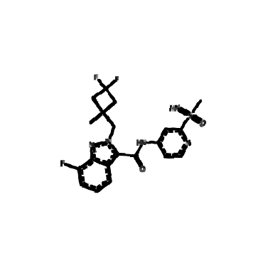 CC1(Cn2nc3c(F)cccc3c2C(=O)Nc2ccnc(S(C)(=N)=O)c2)CC(F)(F)C1